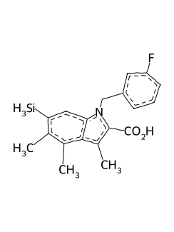 Cc1c([SiH3])cc2c(c1C)c(C)c(C(=O)O)n2Cc1cccc(F)c1